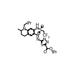 CC(C)CN1c2cc(NS(=O)(=O)CC(F)(F)F)c(N=Nc3nnc(C(=O)OC(C)C)s3)cc2CCC1C